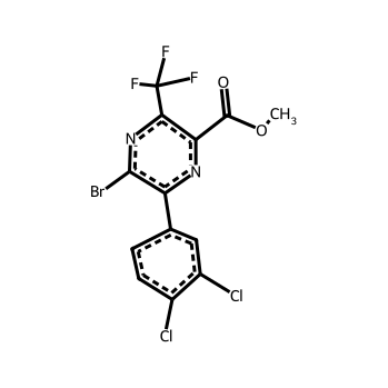 COC(=O)c1nc(-c2ccc(Cl)c(Cl)c2)c(Br)nc1C(F)(F)F